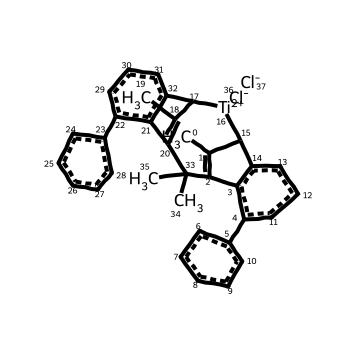 CC1=C2c3c(-c4ccccc4)cccc3[CH]1[Ti+2][CH]1C(C)=C(c3c(-c4ccccc4)cccc31)C2(C)C.[Cl-].[Cl-]